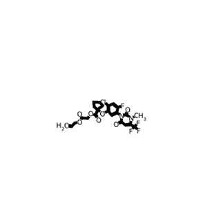 C=CCOC(=O)COC(=O)C1(Oc2cc(-n3c(=O)cc(C(F)(F)F)n(C)c3=O)c(F)cc2Cl)CCCC1